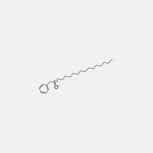 [CH2]CCCCCCCCCCCCCC[S+]([O-])Cc1ccccc1